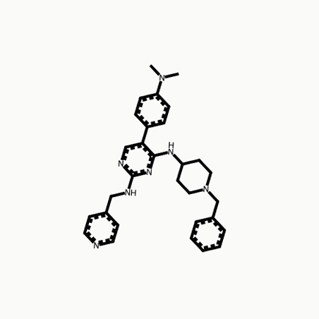 CN(C)c1ccc(-c2cnc(NCc3ccncc3)nc2NC2CCN(Cc3ccccc3)CC2)cc1